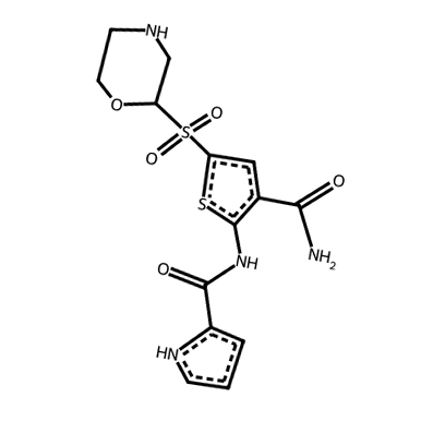 NC(=O)c1cc(S(=O)(=O)C2CNCCO2)sc1NC(=O)c1ccc[nH]1